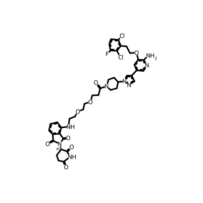 Nc1ncc(-c2cnn(C3CCN(C(=O)CCOCCOCCNc4cccc5c4C(=O)N([C@@H]4CCC(=O)NC4=O)C5=O)CC3)c2)cc1OCCc1c(Cl)ccc(F)c1Cl